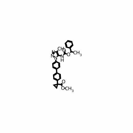 COC(=O)C1(c2ccc(-c3ccc(-n4nnc(C)c4NC(=O)OC(C)c4ccccc4)cc3)cc2)CC1